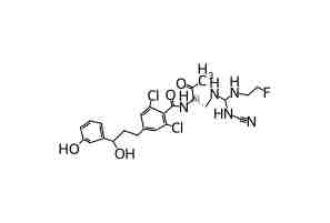 CC(=O)[C@H](CNC(NC#N)NCCF)NC(=O)c1c(Cl)cc(CCC(O)c2cccc(O)c2)cc1Cl